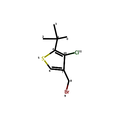 CC(C)(C)c1scc(CBr)c1Cl